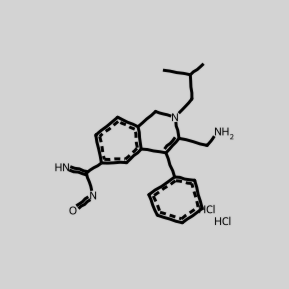 CC(C)CN1Cc2ccc(C(=N)N=O)cc2C(c2ccccc2)=C1CN.Cl.Cl